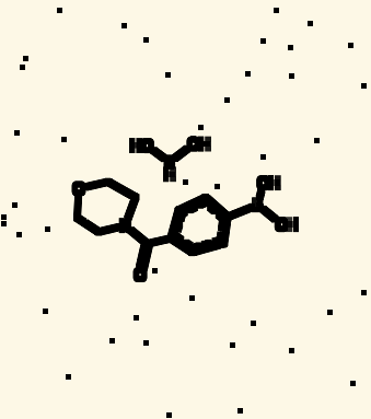 O=C(c1ccc(B(O)O)cc1)N1CCOCC1.OBO